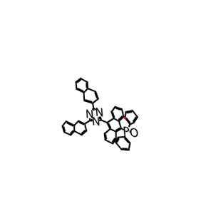 O=P(c1ccccc1)(c1ccccc1)c1c2ccccc2c(-c2nc(-c3ccc4ccccc4c3)nc(-c3ccc4ccccc4c3)n2)c2ccccc12